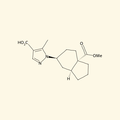 COC(=O)[C@]12CCC[C@H]1C[C@@H](n1ncc(C(=O)O)c1C)CC2